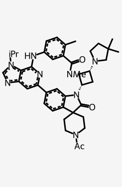 CNC(=O)c1cc(Nc2nc(-c3ccc4c(c3)N([C@H]3C[C@@H](N5CCC(C)(C)C5)C3)C(=O)C43CCN(C(C)=O)CC3)cc3ncn(C(C)C)c23)ccc1C